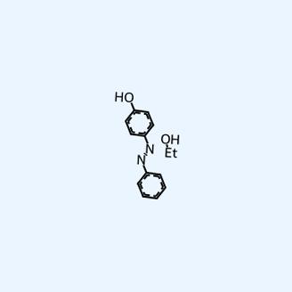 CCO.Oc1ccc(N=Nc2ccccc2)cc1